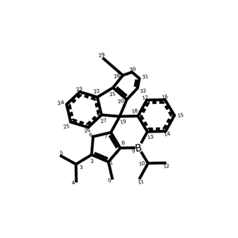 CC1=C(C(C)C)CC2=C1B(C(C)C)c1ccccc1C21C2=C(c3ccccc31)C(C)CC=C2